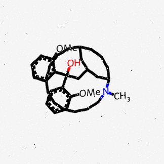 COc1ccccc1C(O)(CC1CC2CCCCCCCCCCN(C)C(CCC2)C1)c1ccccc1OC